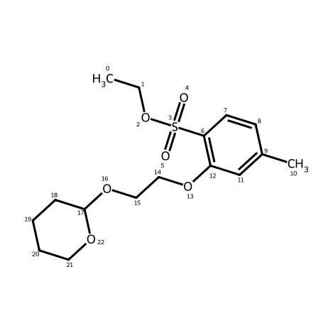 CCOS(=O)(=O)c1ccc(C)cc1OCCOC1CCCCO1